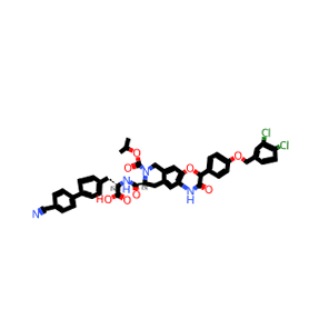 CC(C)OC(=O)N1Cc2cc3c(cc2C[C@H]1C(=O)N[C@@H](Cc1ccc(-c2ccc(C#N)cc2)cc1)C(=O)O)NC(=O)C(c1ccc(OCc2ccc(Cl)c(Cl)c2)cc1)O3